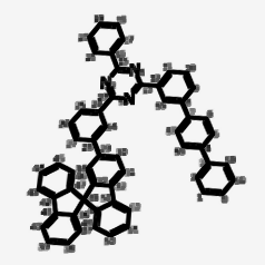 c1ccc(-c2ccc(-c3cccc(-c4nc(-c5ccccc5)nc(-c5cccc(-c6ccc7c(c6)C6(c8ccccc8-c8ccccc86)c6ccccc6-7)c5)n4)c3)cc2)cc1